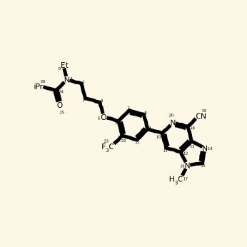 CCN(CCCOc1ccc(-c2cc3c(ncn3C)c(C#N)n2)cc1C(F)(F)F)C(=O)C(C)C